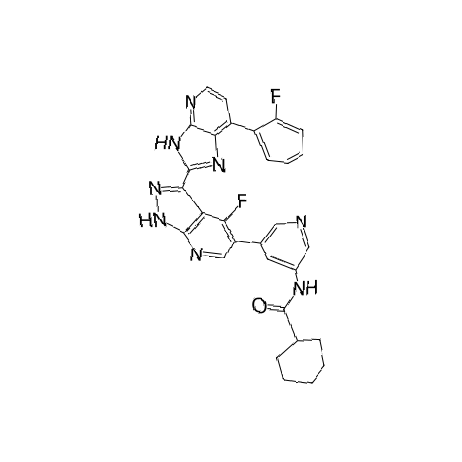 O=C(Nc1cncc(-c2cnc3[nH]nc(-c4nc5c(-c6ccccc6F)ccnc5[nH]4)c3c2F)c1)C1CCCCC1